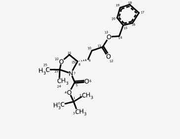 CC(C)(C)OC(=O)N1[C@@H](CCC(=O)OCc2ccccc2)COC1(C)C